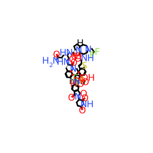 CCCCc1ccc(C[C@H](NC(=O)[C@H](CCC(N)=O)NC(=O)[C@@H]2CC[C@@H]3CCN(CC(F)F)C[C@H](NC(=O)c4cc5cc(C(F)(F)P(=O)(O)O)ccc5s4)C(=O)N32)C(=O)N2CCC3(CC2)CCN(c2ccc4c(c2)C(=O)N(C2CCC(=O)NC2=O)C4=O)C3)cc1